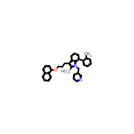 Cc1ccccc1-c1cccc2c(CCCOc3cccc4ccccc34)c(C(=O)O)n(Cc3cccnc3)c12